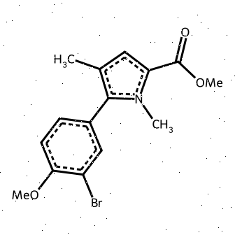 COC(=O)c1cc(C)c(-c2ccc(OC)c(Br)c2)n1C